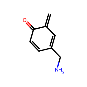 C=C1C=C(CN)C=CC1=O